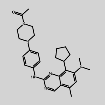 CC(=O)N1CCN(c2ccc(Nc3ncc4c(C)cc(N(C)C)c(C5CCCC5)c4n3)cc2)CC1